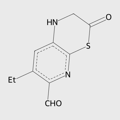 CCc1cc2c(nc1C=O)SC(=O)CN2